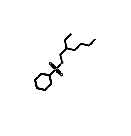 CCCCC(CC)COS(=O)(=O)C1CCCCC1